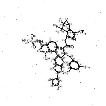 Cn1nc(NS(C)(=O)=O)c2cccc(-c3cc4sc(-c5c[nH]cn5)nc4nc3[C@H](Cc3cc(F)cc(F)c3)NC(=O)Cn3nc(C(F)(F)F)c4c3C(F)(F)[C@@H]3CC43)c21